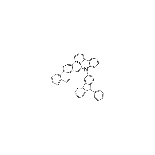 c1ccc(-c2ccccc2N(c2ccc3c(c2)-c2ccccc2C3c2ccccc2)c2ccc3ccc4c5ccccc5ccc4c3c2)cc1